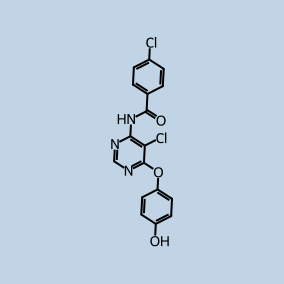 O=C(Nc1ncnc(Oc2ccc(O)cc2)c1Cl)c1ccc(Cl)cc1